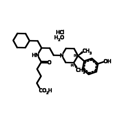 C[C@H]1CN(CCC(CC2CCCCC2)NC(=O)CCCC(=O)O)CC[C@]1(C)c1cccc(O)c1.Cl.O